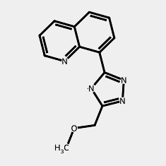 COCC1=NN=C(c2cccc3cccnc23)[N]1